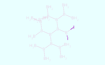 BB(B)B(B)B(B(B(B)B)B(B)B)B(B(I)I)B(B(B)B)B(B)B